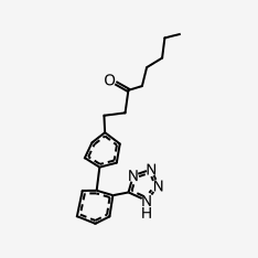 CCCCCC(=O)CCc1ccc(-c2ccccc2-c2nnn[nH]2)cc1